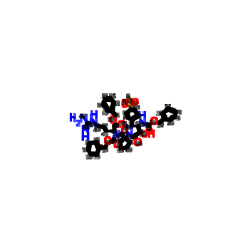 CS(=O)(=O)c1ccc(C[C@@H](NC(=O)OCc2ccccc2)[C@H](O)C(=O)NC2(C(=O)N(C(=O)OCc3ccccc3)[C@@H](CCCNC(=N)N)C(=O)OCc3ccccc3)CCCC2)cc1